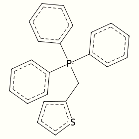 c1ccc([P](Cc2cccs2)(c2ccccc2)c2ccccc2)cc1